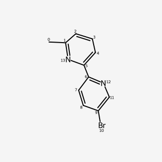 Cc1cccc(-c2ccc(Br)cn2)n1